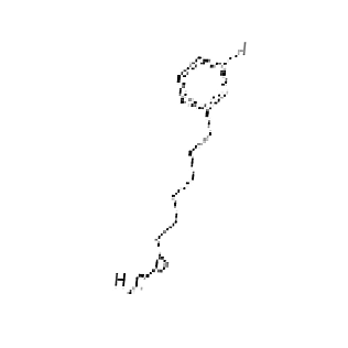 COCCCCCCc1cccc(I)c1